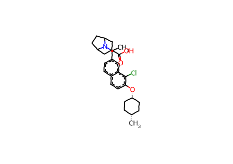 CC(c1ccc2ccc(O[C@H]3CC[C@@H](C)CC3)c(Cl)c2c1)N1C2CCC1CC(C(=O)O)C2